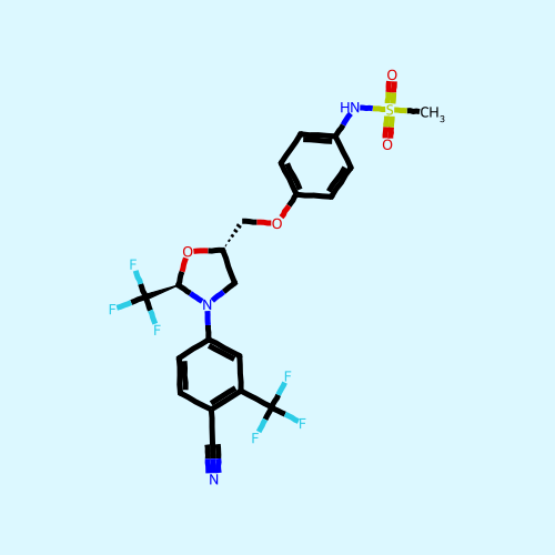 CS(=O)(=O)Nc1ccc(OC[C@@H]2CN(c3ccc(C#N)c(C(F)(F)F)c3)[C@@H](C(F)(F)F)O2)cc1